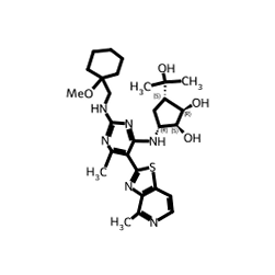 COC1(CNc2nc(C)c(-c3nc4c(C)nccc4s3)c(N[C@@H]3C[C@H](C(C)(C)O)[C@@H](O)[C@H]3O)n2)CCCCC1